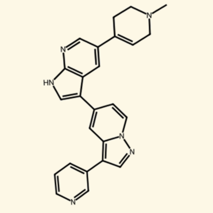 CN1CC=C(c2cnc3[nH]cc(-c4ccn5ncc(-c6cccnc6)c5c4)c3c2)CC1